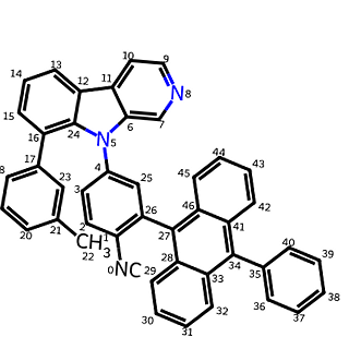 [C-]#[N+]c1ccc(-n2c3cnccc3c3cccc(-c4cccc(C)c4)c32)cc1-c1c2ccccc2c(-c2ccccc2)c2ccccc12